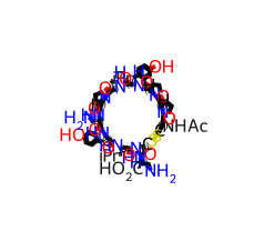 CC(=O)N[C@H]1CSSC[C@@H](C(=O)N[C@@H](CN)C(=O)O)NC(=O)[C@H](CC(C)C)NC(=O)[C@H](Cc2ccc(O)cc2)NC(=O)[C@H](CN)NC(=O)[C@@H]2CCCN2C(=O)[C@H](CC(C)C)NC(=O)[C@H](Cc2ccc(O)cc2)NC(=O)[C@@H]2CCCN2C(=O)[C@@H]2CCCN2C1=O